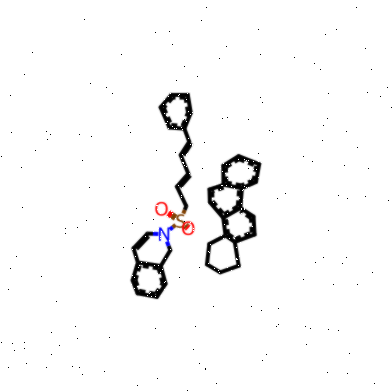 O=S(=O)(CC=CC=Cc1ccccc1)N1C=Cc2ccccc2C1.c1ccc2c(c1)ccc1c3c(ccc12)CCCC3